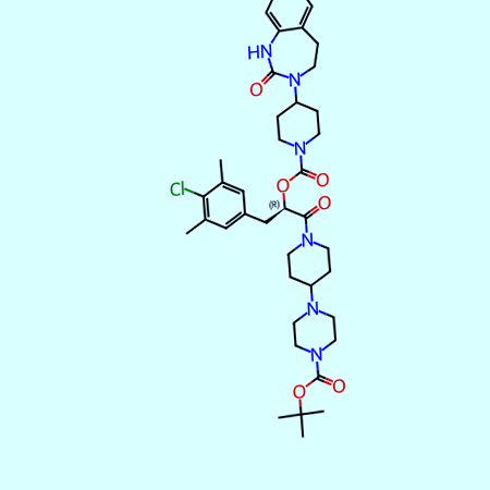 Cc1cc(C[C@@H](OC(=O)N2CCC(N3CCc4ccccc4NC3=O)CC2)C(=O)N2CCC(N3CCN(C(=O)OC(C)(C)C)CC3)CC2)cc(C)c1Cl